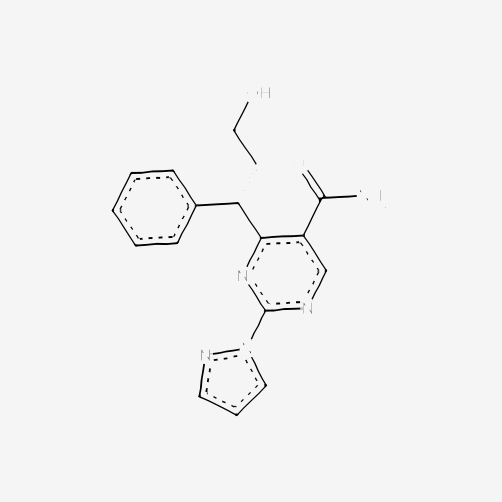 NC(=O)c1cnc(-n2cccn2)nc1[C@@H](CCO)c1ccccc1